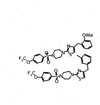 COc1ccccc1Cc1csc(N2CCN(S(=O)(=O)c3ccc(OC(F)(F)F)cc3)CC2)n1.Cc1cccc(Cc2csc(N3CCN(S(=O)(=O)c4ccc(OC(F)(F)F)cc4)CC3)n2)c1